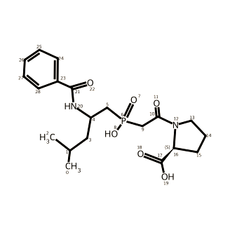 CC(C)CC(CP(=O)(O)CC(=O)N1CCC[C@H]1C(=O)O)NC(=O)c1ccccc1